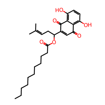 CCCCCCCCCCC(=O)OC(CC=C(C)C)C1=CC(=O)c2c(O)ccc(O)c2C1=O